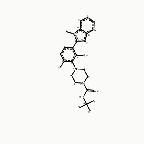 Cn1c(-c2ccc(Cl)c(N3CCN(C(=O)OC(C)(C)C)CC3)c2F)nc2ccccc21